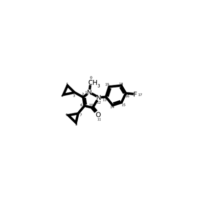 Cn1c(C2CC2)c(C2CC2)c(=O)n1-c1ccc(F)cc1